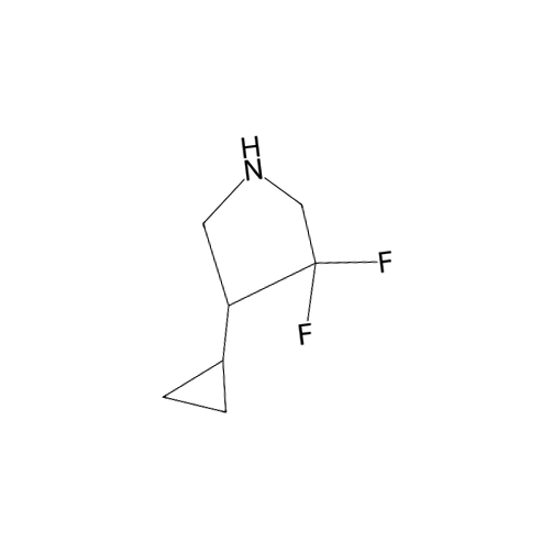 FC1(F)CNCC1C1CC1